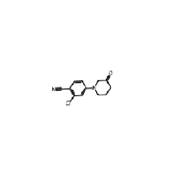 N#Cc1ccc(N2CCCC(=O)C2)cc1Cl